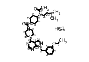 CCOc1cccc(Cn2ncc3c(N4CCN(C(=O)[C@H]5CC[C@H](N(CCN(C)C)C(C)=O)CC5)CC4)ncnc32)c1.Cl.Cl